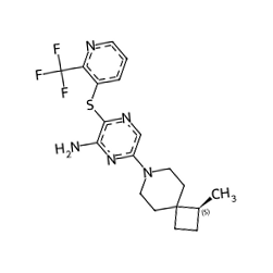 C[C@H]1CCC12CCN(c1cnc(Sc3cccnc3C(F)(F)F)c(N)n1)CC2